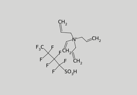 C=CC[N+](C=C)(CC=C)CC=C.O=S(=O)(O)C(F)(F)C(F)(F)C(F)(F)C(F)(F)F